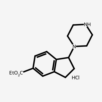 CCOC(=O)c1ccc2c(c1)CCC2N1CCNCC1.Cl